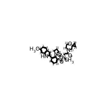 Cc1ccc2cc(-c3cccc(S(=O)(=O)N(C)CC(=O)N4CCOC5(CC5)C4)c3N3CCC3)[nH]c2c1